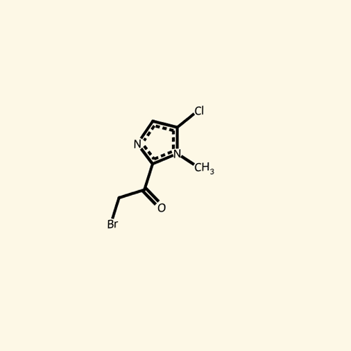 Cn1c(Cl)cnc1C(=O)CBr